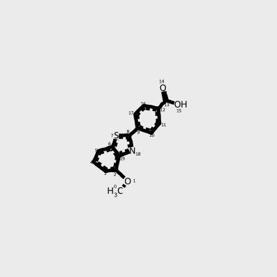 COc1cccc2sc(-c3ccc(C(=O)O)cc3)nc12